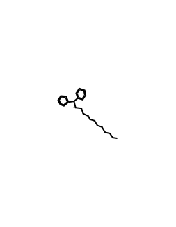 CCCCCCCCCCC[CH]C(c1ccccc1)c1ccccc1